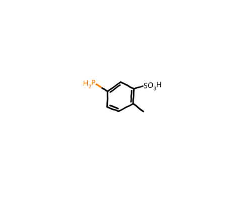 Cc1ccc(P)cc1S(=O)(=O)O